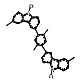 CCn1c2ccc(C)cc2c2cc(-c3cc(C)c(-c4ccc5c(c4)c4cc(C)ccc4n5CC)cc3C)ccc21